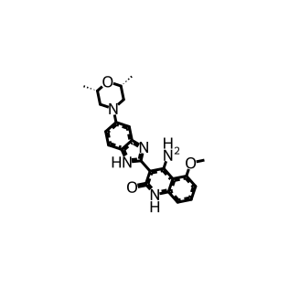 COc1cccc2[nH]c(=O)c(-c3nc4cc(N5C[C@@H](C)O[C@@H](C)C5)ccc4[nH]3)c(N)c12